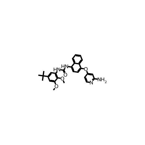 COc1cc(C(C)(C)C)cc(NC(=O)Nc2ccc(Oc3ccnc(N)c3)c3ccccc23)c1OC